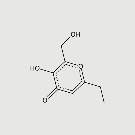 CCc1cc(=O)c(O)c(CO)o1